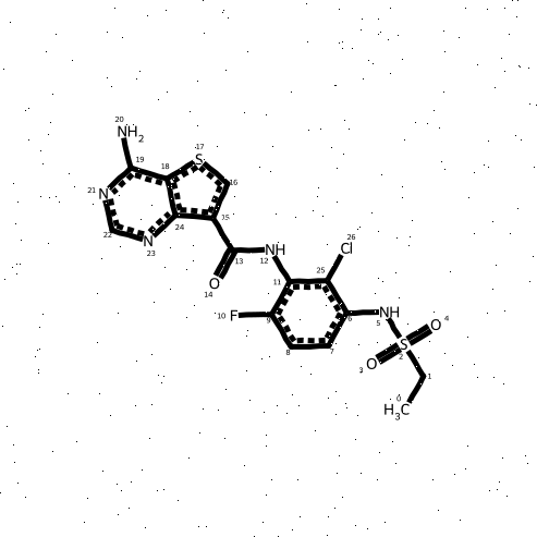 CCS(=O)(=O)Nc1ccc(F)c(NC(=O)c2csc3c(N)ncnc23)c1Cl